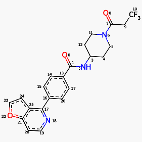 O=C(NC1CCN(C(=O)CC(F)(F)F)CC1)c1ccc(-c2nccc3occc23)cc1